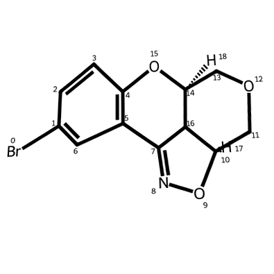 Brc1ccc2c(c1)C1=NO[C@@H]3COC[C@H](O2)C13